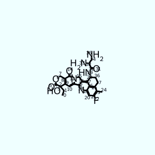 CC[C@@]1(O)C(=O)OCc2c1cc1n(c2=O)Cc2c-1nc1cc(F)c(C)c3c1c2[C@@H](NC(=O)[C@@H](N)CN)CC3